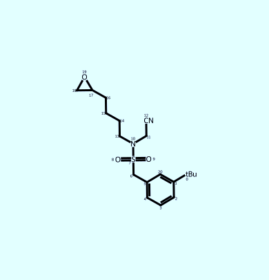 CC(C)(C)c1cccc(CS(=O)(=O)N(CC#N)CCCCC2CO2)c1